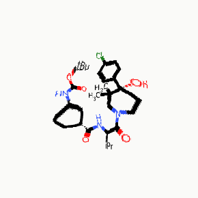 CC(C)[C@@H](NC(=O)[C@@H]1CC[C@@H](NC(=O)OC(C)(C)C)C1)C(=O)N1CC[C@](O)(c2ccc(Cl)cc2)C(C)(C)C1